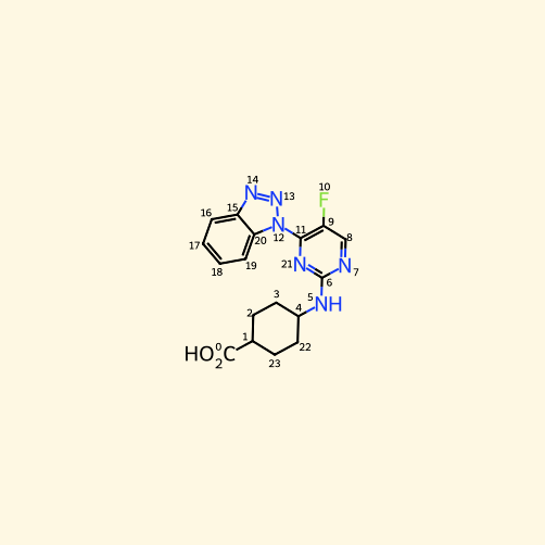 O=C(O)C1CCC(Nc2ncc(F)c(-n3nnc4ccccc43)n2)CC1